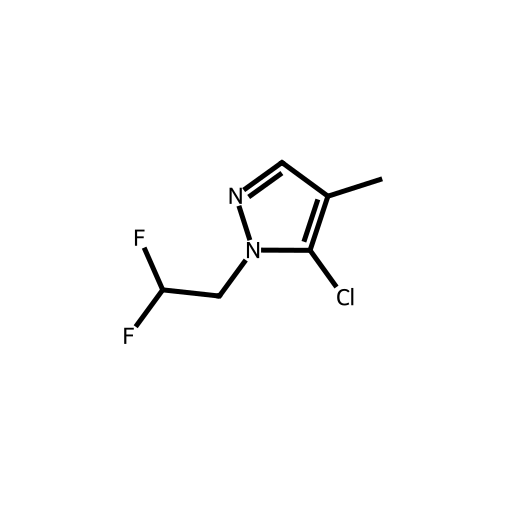 Cc1cnn(CC(F)F)c1Cl